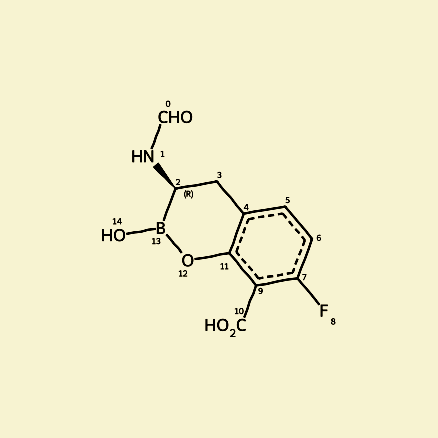 O=CN[C@H]1Cc2ccc(F)c(C(=O)O)c2OB1O